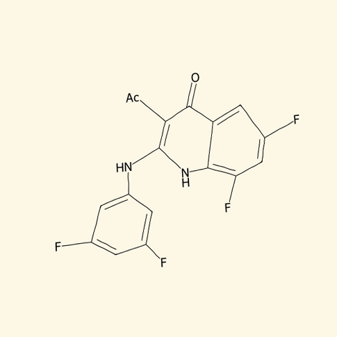 CC(=O)c1c(Nc2cc(F)cc(F)c2)[nH]c2c(F)cc(F)cc2c1=O